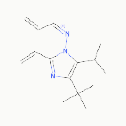 C=C/C=N\n1c(C=C)nc(C(C)(C)C)c1C(C)C